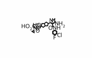 Cn1nc(C2CC3CC(O)(CS(=O)(=O)N(C(=O)O)C4CC4)CC3C2)c(C(=O)Nc2ccc(F)c(Cl)c2)c1N